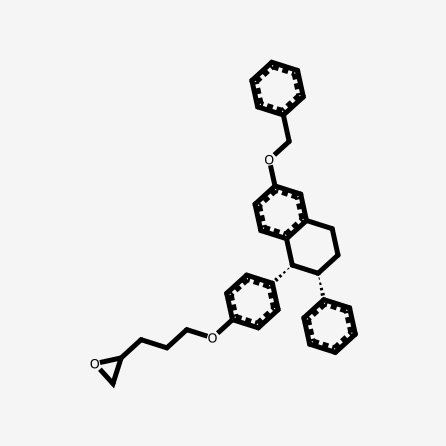 c1ccc(COc2ccc3c(c2)CC[C@H](c2ccccc2)[C@@H]3c2ccc(OCCCC3CO3)cc2)cc1